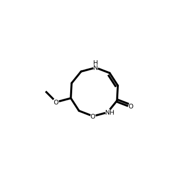 COC1CCN/C=C\C(=O)NOC1